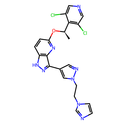 C[C@@H](Oc1ccc2[nH]nc(-c3cnn(CCn4ccnc4)c3)c2n1)c1c(Cl)cncc1Cl